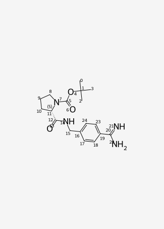 CC(C)(C)OC(=O)N1CCC[C@H]1C(=O)NCc1ccc(C(=N)N)cc1